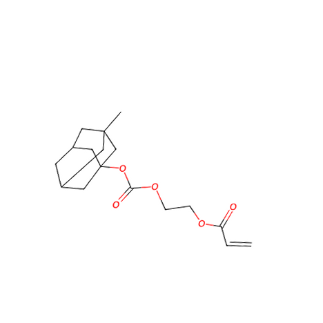 C=CC(=O)OCCOC(=O)OC12CC3CC(CC(C)(C3)C1)C2